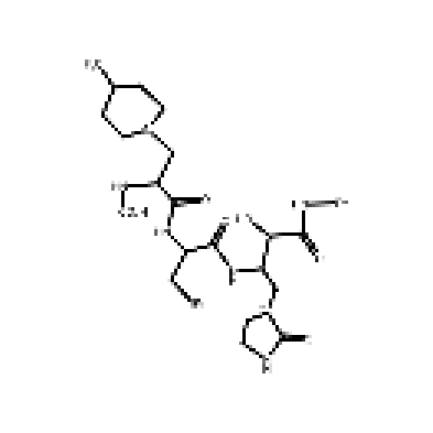 CC(C)CC(NC(=O)C(CN1CCC(C(F)(F)F)CC1)NC(=O)O)C(=O)NC(C[C@@H]1CCNC1=O)C(O)C(=O)NC(C)C